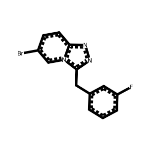 Fc1cccc(Cc2nnc3ccc(Br)cn23)c1